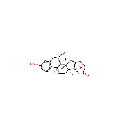 CCC[C@@H]1Cc2cc(O)ccc2[C@H]2CC[C@@]3(C)[C@@H](C[C@H]4CCC(=O)C[C@]43O)[C@H]12